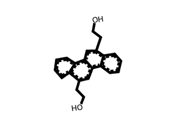 OCCc1cc2c3ccccc3c(CCO)cc2c2ccccc12